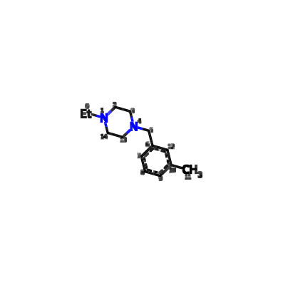 CCN1CCN(Cc2cccc(C)c2)CC1